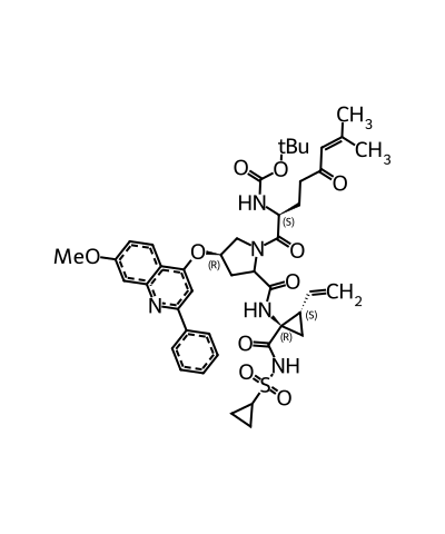 C=C[C@@H]1C[C@]1(NC(=O)C1C[C@@H](Oc2cc(-c3ccccc3)nc3cc(OC)ccc23)CN1C(=O)[C@H](CCC(=O)C=C(C)C)NC(=O)OC(C)(C)C)C(=O)NS(=O)(=O)C1CC1